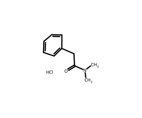 CN(C)C(=O)Cc1ccccc1.Cl